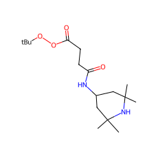 CC1(C)CC(NC(=O)CCC(=O)OOC(C)(C)C)CC(C)(C)N1